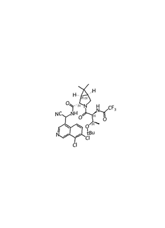 C[C@@H](OC(C)(C)C)[C@H](NC(=O)C(F)(F)F)C(=O)N1C[C@H]2[C@@H]([C@H]1C(=O)NC(C#N)c1cncc3c(Cl)c(Cl)ccc13)C2(C)C